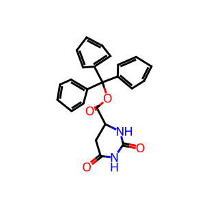 O=C1CC(C(=O)OC(c2ccccc2)(c2ccccc2)c2ccccc2)NC(=O)N1